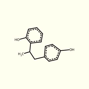 CC(Cc1ccc(O)cc1)c1ccccc1O